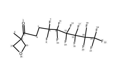 CC1(C(=O)CCC(F)(F)C(F)(F)C(F)(F)C(F)(F)C(F)(F)C(F)(F)F)COC1